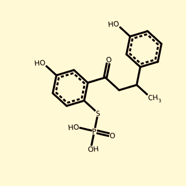 CC(CC(=O)c1cc(O)ccc1SP(=O)(O)O)c1cccc(O)c1